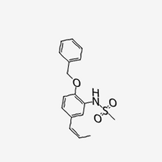 C/C=C\c1ccc(OCc2ccccc2)c(NS(C)(=O)=O)c1